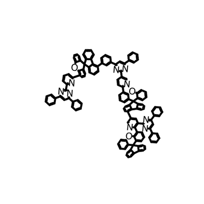 c1ccc(-c2cc(-c3cccc(-c4cccc5c4-c4ccccc4C54c5ccccc5Oc5c(-c6cccc(-c7nc(-c8ccccc8)cc(-c8ccccc8)n7)n6)cccc54)c3)nc(-c3ccc(-c4cccc5c4Oc4ccccc4C54c5ccccc5-c5c(-c6cnc(-c7cccc8c7Oc7ccccc7C87c8ccccc8-c8ccccc87)c(-c7nc(-c8ccccc8)cc(-c8ccccc8)n7)c6)cccc54)nc3)n2)cc1